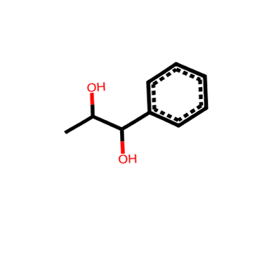 CC(O)C(O)c1ccccc1